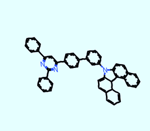 C1=CC2=CC=C3C(c4c(ccc5ccccc45)N3c3cccc(-c4ccc(-c5cc(-c6ccccc6)nc(-c6ccccc6)n5)cc4)c3)C2C=C1